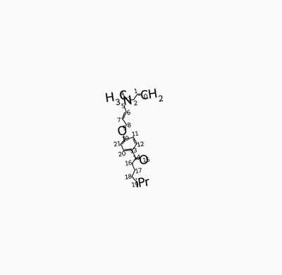 C=CCN(C)C/C=C/COc1ccc(C(=O)CCCC(C)C)cc1